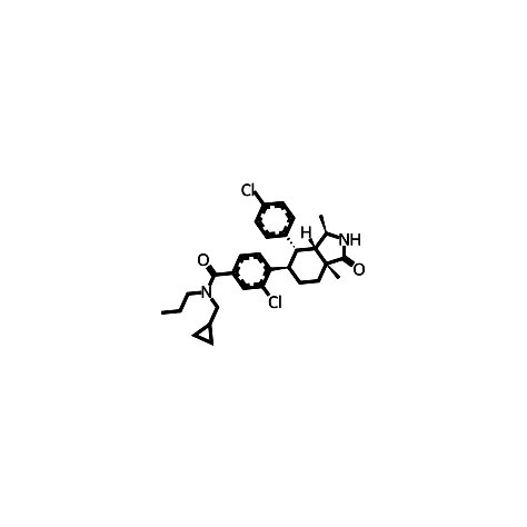 CCCN(CC1CC1)C(=O)c1ccc([C@@H]2CC[C@@]3(C)C(=O)N[C@H](C)[C@H]3[C@H]2c2ccc(Cl)cc2)c(Cl)c1